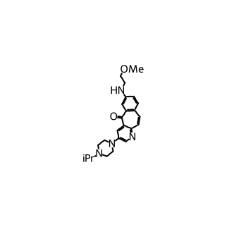 COCCNc1ccc2ccc3ncc(N4CCN(C(C)C)CC4)cc3c(=O)c2c1